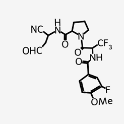 COc1ccc(C(=O)NC(C(=O)N2CCCC2C(=O)NC(C#N)CC=O)C(F)(F)F)cc1F